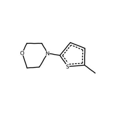 Cc1ccc(N2CCOCC2)s1